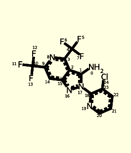 Nc1c2c(C(F)(F)F)nc(C(F)(F)F)cc2nn1-c1ncccc1Cl